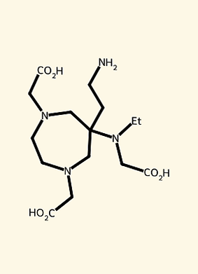 CCN(CC(=O)O)C1(CCN)CN(CC(=O)O)CCN(CC(=O)O)C1